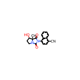 C[C@@]12C(=O)N(c3ccc(C#N)c4ccccc34)C(=O)N1CC[C@H]2O